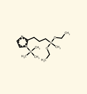 CCO[Si](C)(CCCc1nccn1[Si](C)(C)C)OCC